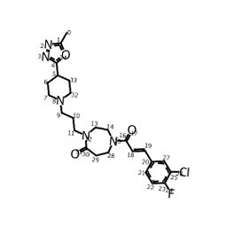 Cc1nnc(C2CCN(CCCN3CCN(C(=O)C=Cc4ccc(F)c(Cl)c4)CCC3=O)CC2)o1